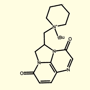 CC(C)(C)[N+]1(CC2Cn3c(=O)ccc4ncc(=O)n2c43)CC[CH]CC1